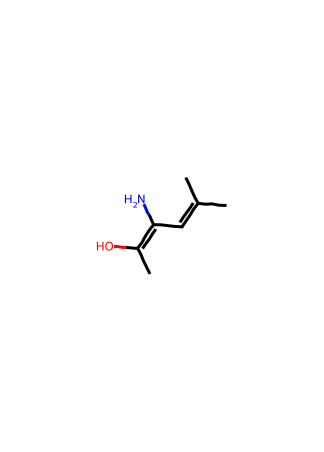 CC(C)=C/C(N)=C(\C)O